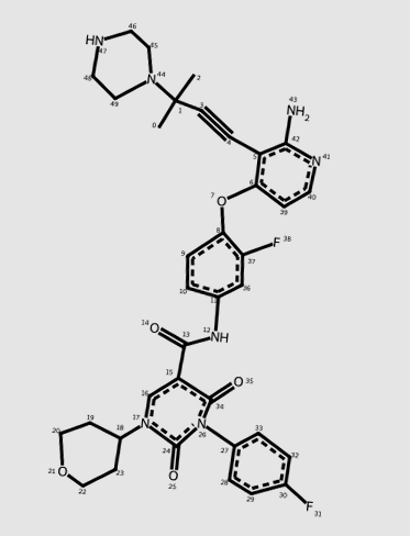 CC(C)(C#Cc1c(Oc2ccc(NC(=O)c3cn(C4CCOCC4)c(=O)n(-c4ccc(F)cc4)c3=O)cc2F)ccnc1N)N1CCNCC1